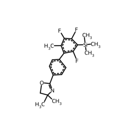 Cc1c(F)c(F)c([Si](C)(C)C)c(F)c1-c1ccc(C2=NC(C)(C)CO2)cc1